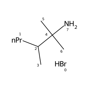 Br.CCCC(C)C(C)(C)N